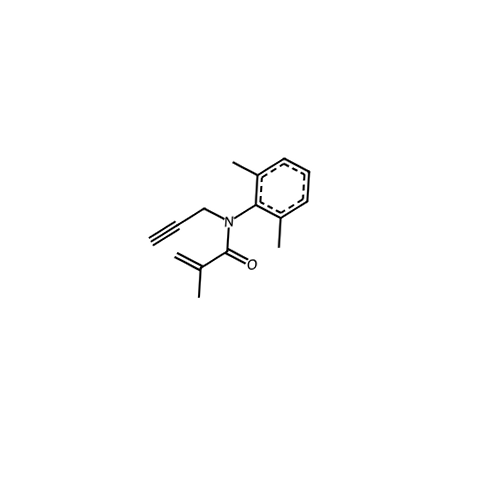 C#CCN(C(=O)C(=C)C)c1c(C)cccc1C